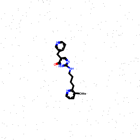 COc1cccnc1CCCCNc1ncc(Cc2cccnc2)c(=O)[nH]1